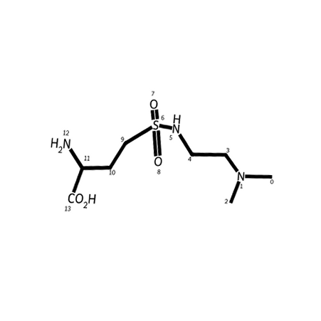 CN(C)CCNS(=O)(=O)CCC(N)C(=O)O